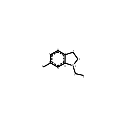 CCN1CCc2ccc(C)cc21